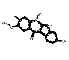 CCCOc1cc2c(=O)c3c4ccc(C#N)cc4[nH]c3n(C(C)C)c2cc1F